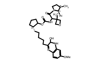 COc1ccc2c(c1)NC(O)C(CCCCC[C@@H]1CCCC1OC(=O)NC(C(=O)N1CC[C@@H](C)[C@H]1C(C)=O)C1(C)COC1)=N2